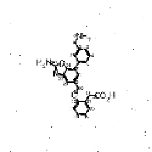 NCc1cccc(-c2cc(COc3ccccc3CC(=O)O)cc3nc(N)oc23)c1